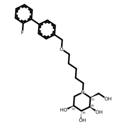 OC[C@H]1[C@@H](O)[C@H](O)[C@@H](O)CN1CCCCCOCc1ccc(-c2ccccc2F)cc1